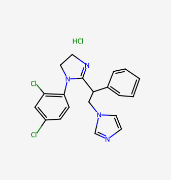 Cl.Clc1ccc(N2CCN=C2C(Cn2ccnc2)c2ccccc2)c(Cl)c1